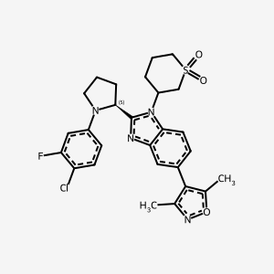 Cc1noc(C)c1-c1ccc2c(c1)nc([C@@H]1CCCN1c1ccc(Cl)c(F)c1)n2C1CCCS(=O)(=O)C1